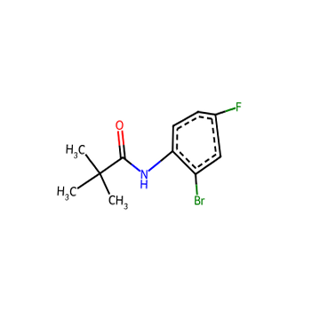 CC(C)(C)C(=O)Nc1ccc(F)cc1Br